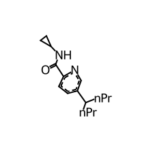 CCCC(CCC)c1ccc(C(=O)NC2CC2)nc1